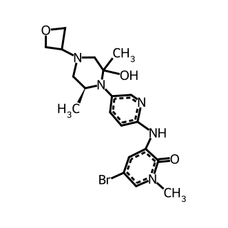 C[C@H]1CN(C2COC2)CC(C)(O)N1c1ccc(Nc2cc(Br)cn(C)c2=O)nc1